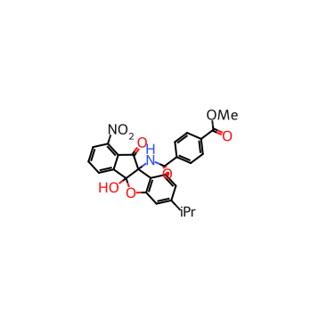 COC(=O)c1ccc(C(=O)NC23C(=O)c4c([N+](=O)[O-])cccc4C2(O)Oc2cc(C(C)C)ccc23)cc1